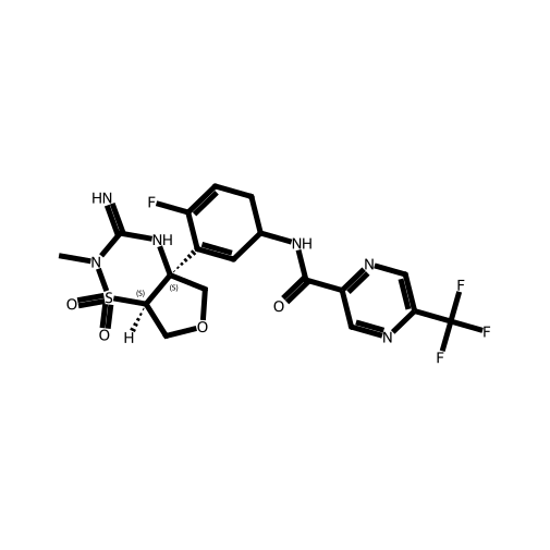 CN1C(=N)N[C@@]2(C3=CC(NC(=O)c4cnc(C(F)(F)F)cn4)CC=C3F)COC[C@H]2S1(=O)=O